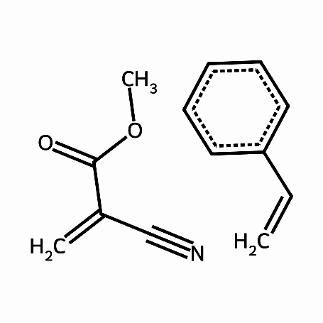 C=C(C#N)C(=O)OC.C=Cc1ccccc1